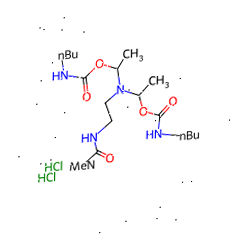 CCCCNC(=O)OC(C)N(CCNC(=O)NC)C(C)OC(=O)NCCCC.Cl.Cl